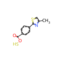 Cc1csc(-c2ccc(C(=O)OS)cc2)n1